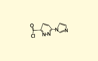 O=C(Cl)c1ccc(-n2ccnc2)nn1